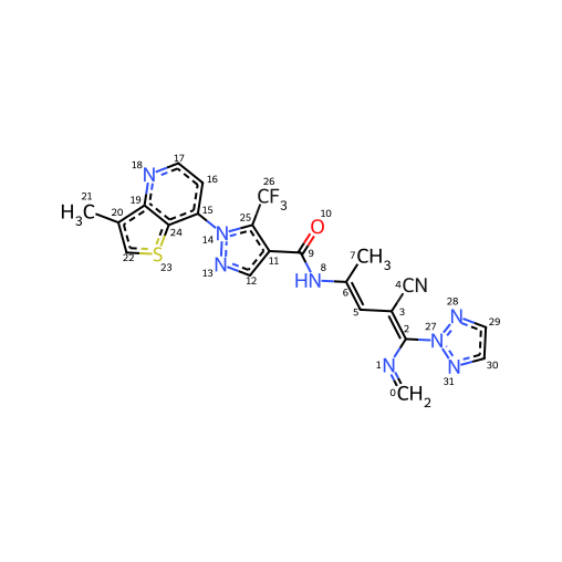 C=N/C(=C(C#N)\C=C(/C)NC(=O)c1cnn(-c2ccnc3c(C)csc23)c1C(F)(F)F)n1nccn1